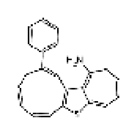 NC1=c2c3c(sc2=CC=CC1)/C=C\C=C/C/C(c1ccccc1)=C\3